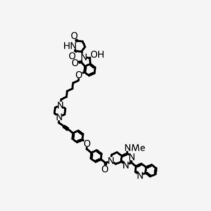 CNc1nc(-c2cnc3ccccc3c2)nc2c1CCN(C(=O)c1ccc(COc3ccc(C#CCN4CCN(CCCCCCOc5cccc6c5C(=O)N(C5CCC(=O)NC5=O)C6O)CC4)cc3)cc1)C2